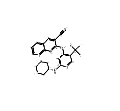 N#Cc1cc2ccccc2nc1Nc1nc(N[C@H]2CCCNC2)ncc1C(F)(F)F